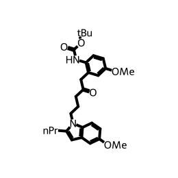 CCCc1cc2cc(OC)ccc2n1CCCC(=O)Cc1cc(OC)ccc1NC(=O)OC(C)(C)C